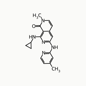 Cc1ccnc(Nc2cc3ccn(C)c(=O)c3c(NC3CC3)n2)c1